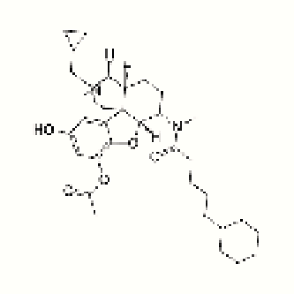 CC(=O)Oc1cc(O)c2c3c1O[C@H]1[C@@H](N(C)C(=O)CCCCC4CCCCC4)CC[C@H]4[C@@H](C2)N(CC2CC2)CC[C@@]341